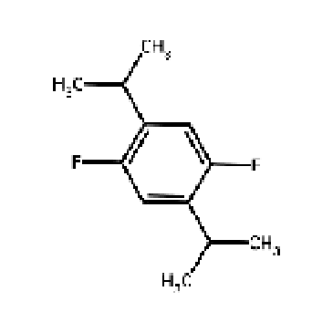 CC(C)c1cc(F)c(C(C)C)cc1F